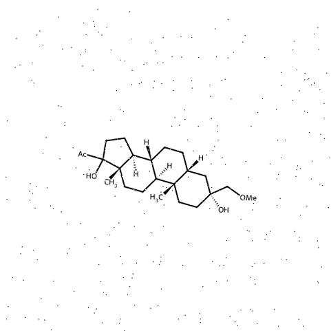 COC[C@@]1(O)CC[C@@]2(C)[C@H](CC[C@@H]3[C@@H]2CC[C@@]2(C)[C@H]3CCC2(O)C(C)=O)C1